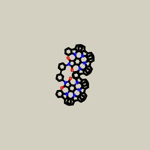 O=C1c2c(c(-n3c4ccccc4c4ccccc43)c(-n3c4ccccc4c4ccccc43)c(-n3c4ccccc4c4ccccc43)c2-n2c3ccccc3c3ccccc32)C(=O)N1c1cccc(-c2cccc(N3C(=O)c4c(c(-n5c6ccccc6c6ccccc65)c(-n5c6ccccc6c6ccccc65)c(-n5c6ccccc6c6ccccc65)c4-n4c5ccccc5c5ccccc54)C3=O)c2)c1